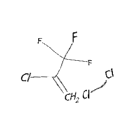 C=C(Cl)C(F)(F)F.ClCl